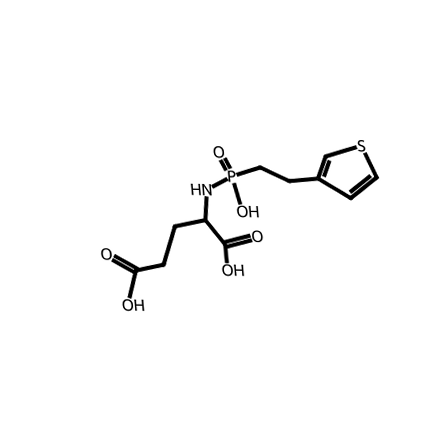 O=C(O)CCC(NP(=O)(O)CCc1ccsc1)C(=O)O